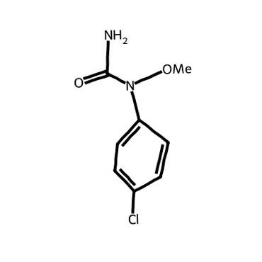 CON(C(N)=O)c1ccc(Cl)cc1